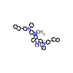 CN1c2cc(N(c3ccccc3)c3ccc(-c4ccc5ccccc5c4)cc3)ccc2-c2cc3c(c4cccc1c24)c1ccc(N(c2ccccc2)c2ccc(-c4ccc5ccccc5c4)cc2)cc1n3C